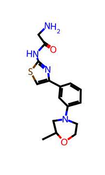 CC1CN(c2cccc(-c3csc(NC(=O)CN)n3)c2)CCO1